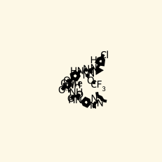 COC(=O)[C@H](CNC(=O)C(=O)Nc1ccc(N(C)c2nc(C)cc(C)n2)cc1)NC(=O)c1ccc(Nc2nc(NC3(c4ccc(Cl)cc4)CC3)nc(OCC(F)(F)F)n2)cc1